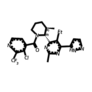 CCc1c(-c2ccn[nH]2)nc(C)nc1[C@H]1[C@H](C)CCCN1C(=O)c1ccnc(C(F)(F)F)c1Cl